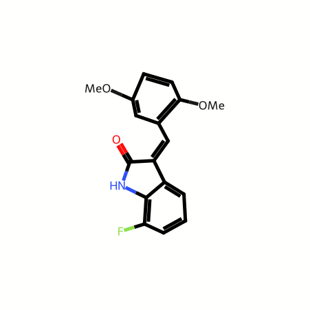 COc1ccc(OC)c(/C=C2\C(=O)Nc3c(F)cccc32)c1